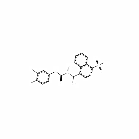 CC(c1cnc(S(C)(=O)=O)c2ccccc12)N(C)C(=O)Nc1ccc(F)c(Cl)c1